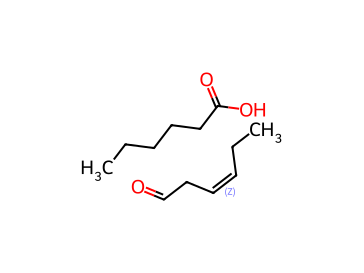 CC/C=C\CC=O.CCCCCC(=O)O